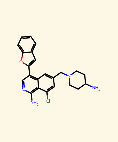 Nc1ncc(-c2cc3ccccc3o2)c2cc(CN3CCC(N)CC3)cc(Cl)c12